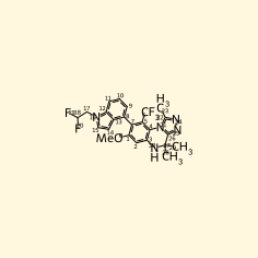 COc1cc2c(c(C(F)(F)F)c1-c1cccc3c1ccn3CC(F)F)-n1c(C)nnc1C(C)(C)N2